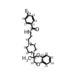 CC1(N2CCN(CCNC(=O)c3ccc(F)cc3)CC2)COc2ccccc2O1